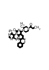 C=CC(=O)N1CCN(c2nc(=O)n(-c3c(C(C)C)ncnc3C(C)C)c3nc(-c4ccccc4F)c(F)cc23)[C@@H](C)C1